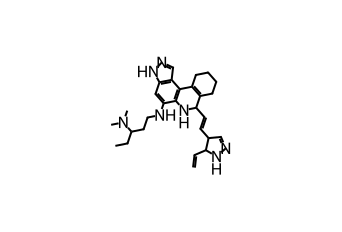 C=CC1NN=CC1/C=C/C1Nc2c(NCCC(CC)N(C)C)cc3[nH]ncc3c2C2=C1CCCC2